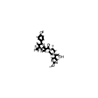 COc1ccc(-c2nc3c(C(=O)N4CCN(C(CO)c5cnc(OC)nc5)C[C@H]4C)cnn3c(C(F)(F)F)c2C)cc1